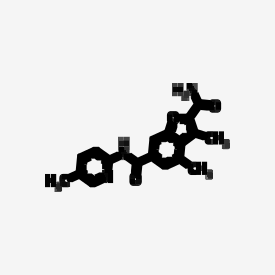 Cc1ccc(NC(=O)c2cc(C)c3c(C)c(C(N)=O)oc3c2)nc1